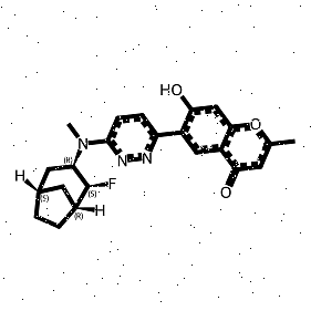 Cc1cc(=O)c2cc(-c3ccc(N(C)[C@@H]4C[C@H]5CC[C@H](C5)[C@@H]4F)nn3)c(O)cc2o1